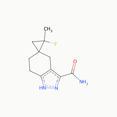 CC1(F)CC12CCc1[nH]nc(C(N)=O)c1C2